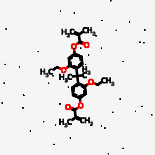 C=C(C)C(=O)Oc1ccc(C(C)(C)c2ccc(OC(=O)C(=C)C)cc2OCC)c(OCC)c1